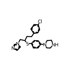 Clc1ccc(CCC(Cn2ccnc2)Sc2ccc(N3CCNCC3)cc2)cc1